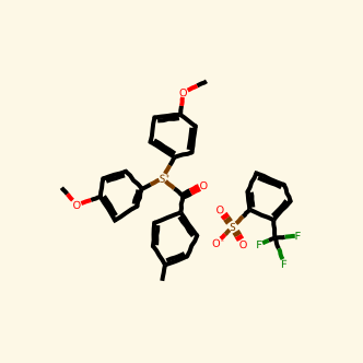 COc1ccc([S+](C(=O)c2ccc(C)cc2)c2ccc(OC)cc2)cc1.O=S(=O)([O-])c1ccccc1C(F)(F)F